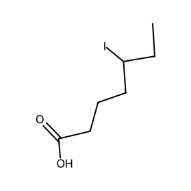 CCC(I)CCCC(=O)O